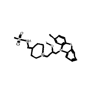 Cc1ccc2c(c1)N(CC(CN1CCC(CNS(C)(=O)=O)CC1)OI)c1ccccc1S2